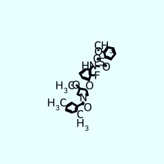 COc1ccccc1S(=O)(=O)CNc1cccc(OC2CN(C(=O)c3cc(C)ccc3C)CC2OC)c1F